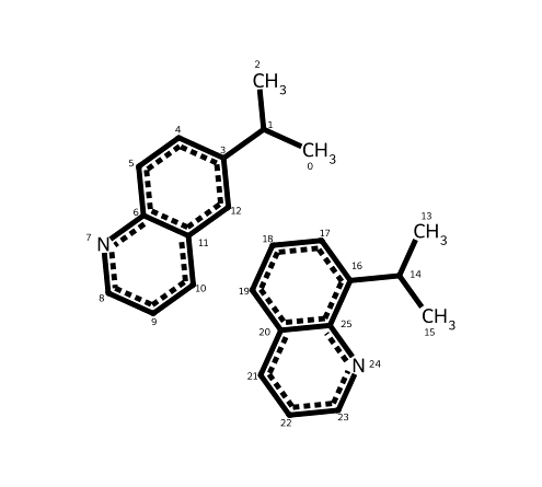 CC(C)c1ccc2ncccc2c1.CC(C)c1cccc2cccnc12